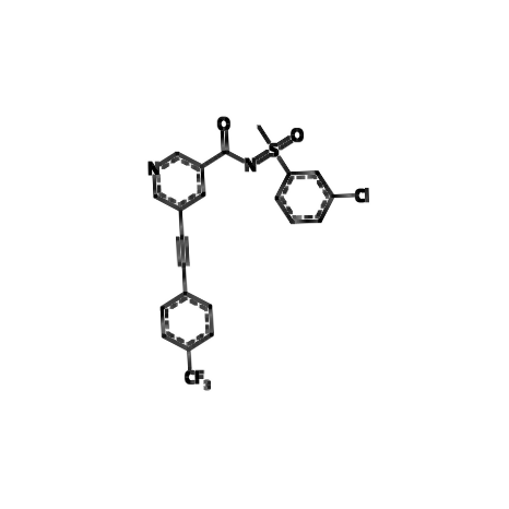 CS(=O)(=NC(=O)c1cncc(C#Cc2ccc(C(F)(F)F)cc2)c1)c1cccc(Cl)c1